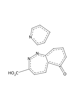 O=C(O)c1ccc2c(=O)cccc-2nn1.c1ccncc1